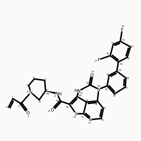 C=CC(=O)N1CCC[C@@H](NC(=O)c2sc3nccc4c3c2NC(=O)N4c2cccc(-c3ccc(F)cc3F)c2)C1